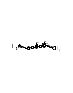 CCCCCCCC1CCC(C2CCC(c3ccc(-c4ccc(-c5ccc(OCCCCCC)c(F)c5F)cc4)c(F)c3)CC2)CC1